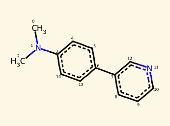 CN(C)c1ccc(-c2cc[c]nc2)cc1